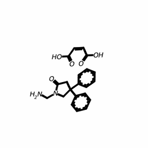 NCN1CC(c2ccccc2)(c2ccccc2)CC1=O.O=C(O)/C=C\C(=O)O